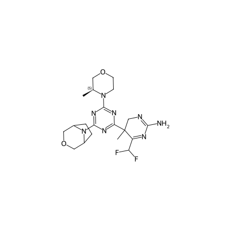 C[C@H]1COCCN1c1nc(N2C3CCC2COC3)nc(C2(C)CN=C(N)N=C2C(F)F)n1